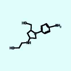 Nc1ccc(N2CC(NCCO)CC2CO)cc1